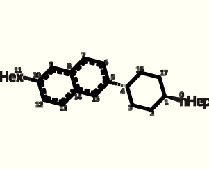 CCCCCCC[C@H]1CC[C@H](c2ccc3cc(CCCCCC)ccc3c2)CC1